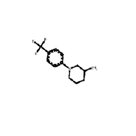 BC1CCCN(c2ccc(C(F)(F)F)cc2)C1